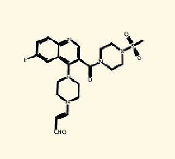 CS(=O)(=O)N1CCN(C(=O)c2cnc3ccc(F)cc3c2N2CCN(C=CC=O)CC2)CC1